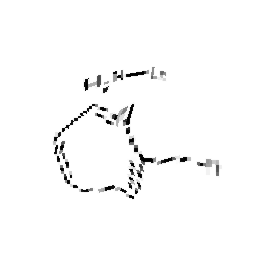 CCN.CCc1ccccn1